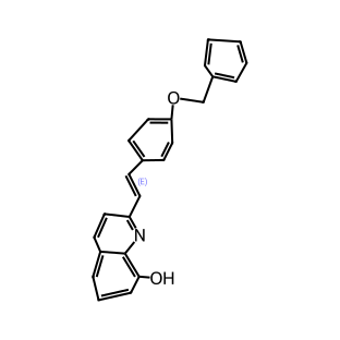 Oc1cccc2ccc(/C=C/c3ccc(OCc4ccccc4)cc3)nc12